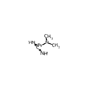 CCCN(C)C.N=C=N